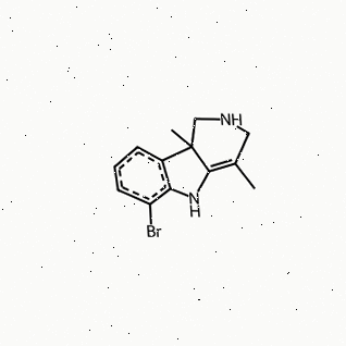 CC1=C2Nc3c(Br)cccc3C2(C)CNC1